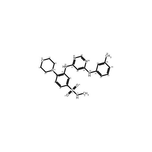 CNS(=O)(=O)c1ccc(N2CCOCC2)c(Nc2cc(Nc3cccc(C)c3)ncn2)c1